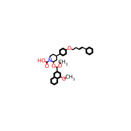 COc1cc(C(OC)OC2CC(c3ccc(OCCC=Cc4ccccc4)cc3)CCN2C(=O)O)cc2ccccc12